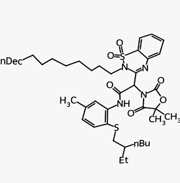 CCCCCCCCCCCCCCCCCCN1C(C(C(=O)Nc2cc(C)ccc2SCC(CC)CCCC)N2C(=O)OC(C)(C)C2=O)=Nc2ccccc2S1(=O)=O